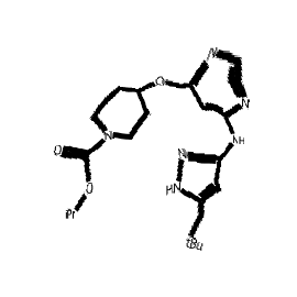 CC(C)OC(=O)N1CCC(Oc2cc(Nc3cc(C(C)(C)C)[nH]n3)ncn2)CC1